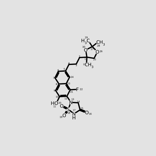 CC1(CCCc2ccc3cc(O)c(N4CC(=O)NS4(=O)=O)c(F)c3c2)COC(C)(C)O1